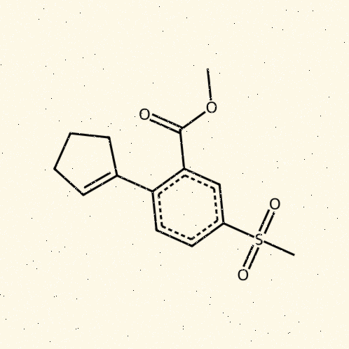 COC(=O)c1cc(S(C)(=O)=O)ccc1C1=CCCC1